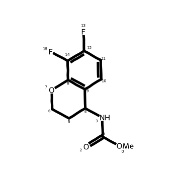 COC(=O)NC1CCOc2c1ccc(F)c2F